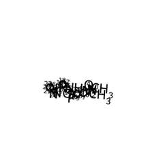 CN(C)C(=O)N1CCc2cc(F)c(C(=O)Nc3cccc(-c4nnc5n4CCCC5)n3)cc2C1